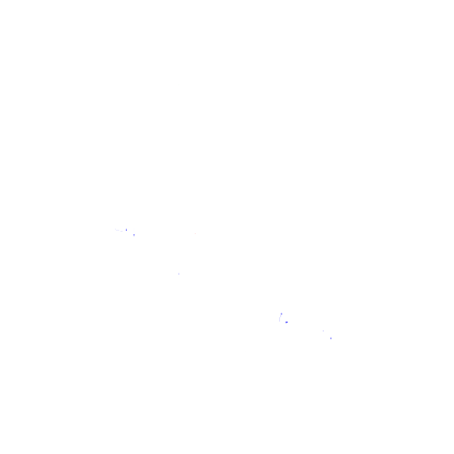 COc1cc(N2CCC(NC(=O)Cc3ccc(Cl)cc3)C2=O)ccc1-n1cnc(C)c1